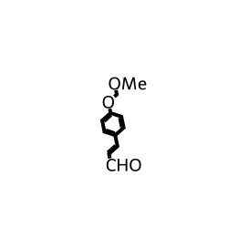 COCOc1ccc(C=CC=O)cc1